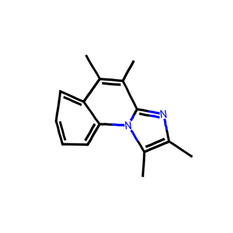 Cc1nc2c(C)c(C)c3ccccc3n2c1C